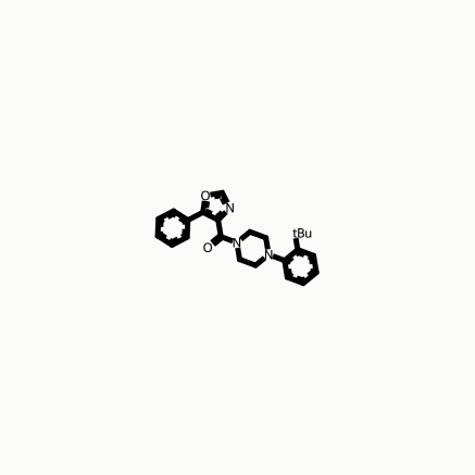 CC(C)(C)c1ccccc1N1CCN(C(=O)c2ncoc2-c2ccccc2)CC1